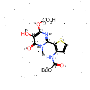 CC(C)COC(=O)Nc1ccsc1-c1nc(OC(=O)O)c(O)c(=O)n1C